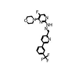 Fc1cnc(N/N=C/c2ccc(-c3cccc(C(F)(F)F)c3)cn2)nc1N1CCOCC1